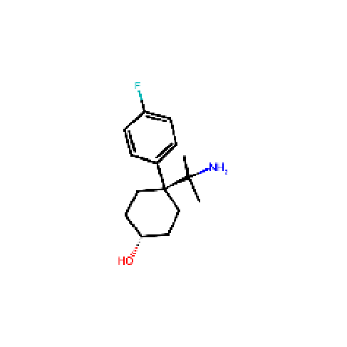 CC(C)(N)[C@]1(c2ccc(F)cc2)CC[C@@H](O)CC1